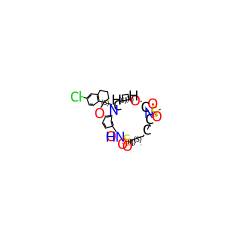 C[C@@H]1[C@@H](C)CCCCN(S(C)(=O)=O)CCO[C@@H]2CC[C@H]2CN2C[C@@]3(CCCc4cc(Cl)ccc43)COc3ccc(cc32)C(=O)NS1(=O)=O